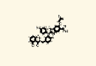 Cn1c(N(c2ccc(Br)cc2)c2cc(CNC(=O)c3c(F)cccc3Cl)ccc2Cl)nc2cc(C(=O)O)c(OCC(F)F)cc21